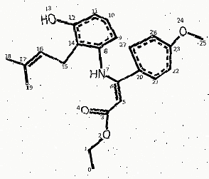 CCOC(=O)/C=C(\Nc1cccc(O)c1CC=C(C)C)c1ccc(OC)cc1